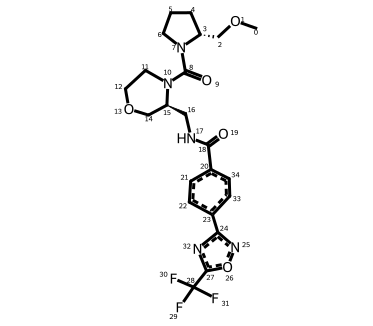 COC[C@H]1CCCN1C(=O)N1CCOC[C@@H]1CNC(=O)c1ccc(-c2noc(C(F)(F)F)n2)cc1